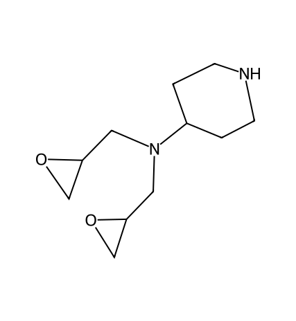 C1CC(N(CC2CO2)CC2CO2)CCN1